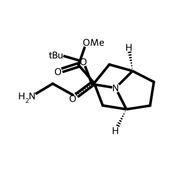 COC(=O)[C@@]1(CCN)C[C@H]2CC[C@@H](C1)N2C(=O)OC(C)(C)C